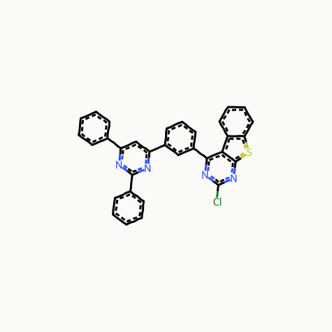 Clc1nc(-c2cccc(-c3cc(-c4ccccc4)nc(-c4ccccc4)n3)c2)c2c(n1)sc1ccccc12